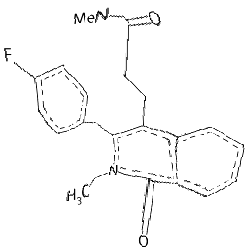 CNC(=O)CCc1c(-c2ccc(F)cc2)n(C)c(=O)c2ccccc12